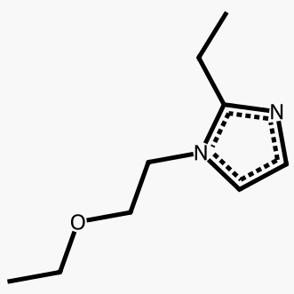 CCOCCn1ccnc1CC